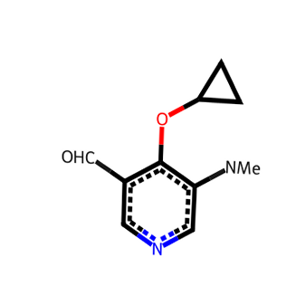 CNc1cncc(C=O)c1OC1CC1